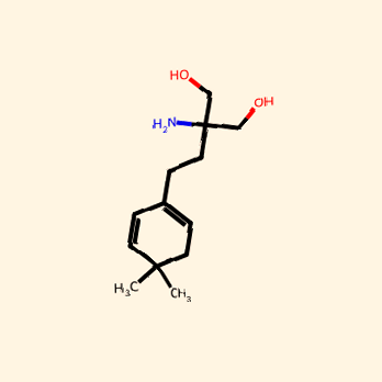 CC1(C)C=CC(CCC(N)(CO)CO)=CC1